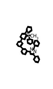 C[Si]1(c2ccccc2)c2ccccc2-c2ccc(-c3cccc(-c4cccc(-c5cc(-c6ccccc6)nc(-c6ccccc6)n5)c4)c3)cc21